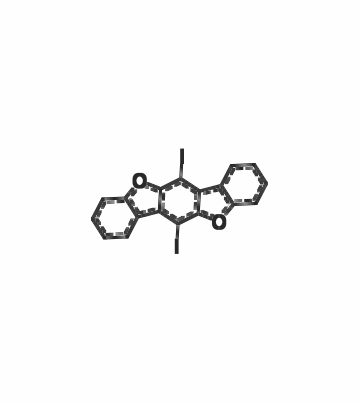 Ic1c2oc3ccccc3c2c(I)c2oc3ccccc3c12